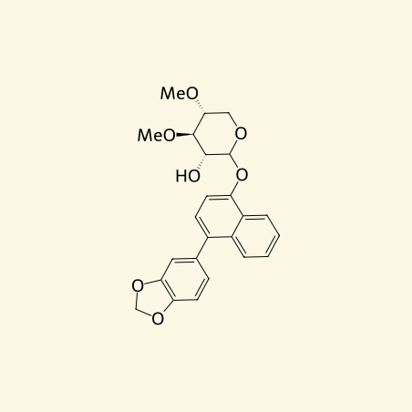 CO[C@H]1[C@H](OC)COC(Oc2ccc(-c3ccc4c(c3)OCO4)c3ccccc23)[C@@H]1O